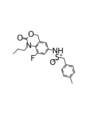 CCCN1C(=O)OCc2cc(N[S+]([O-])Cc3ccc(C)cc3)cc(F)c21